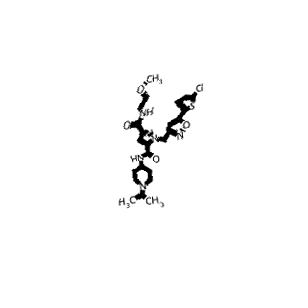 COCCNC(=O)c1cc(C(=O)NC2CCN(C(C)C)CC2)n(Cc2cc(-c3ccc(Cl)s3)on2)n1